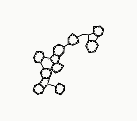 c1ccc(-n2c3ccccc3c3cc(-c4ccccc4-n4c5ccccc5c5cc(-c6ccc(CC7c8ccccc8-c8ccccc87)cc6)ccc54)ccc32)cc1